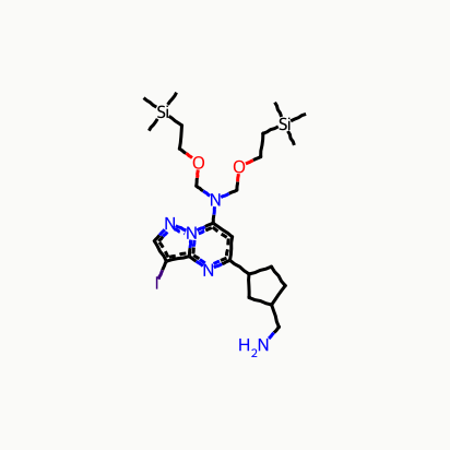 C[Si](C)(C)CCOCN(COCC[Si](C)(C)C)c1cc(C2CCC(CN)C2)nc2c(I)cnn12